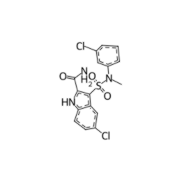 CN(c1cccc(Cl)c1)S(=O)(=O)c1c(C(N)=O)[nH]c2ccc(Cl)cc12